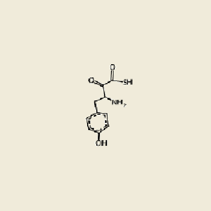 N[C@@H](Cc1ccc(O)cc1)C(=O)C(=O)S